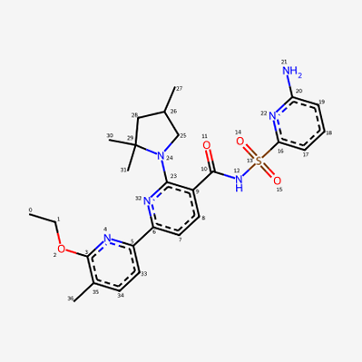 CCOc1nc(-c2ccc(C(=O)NS(=O)(=O)c3cccc(N)n3)c(N3CC(C)CC3(C)C)n2)ccc1C